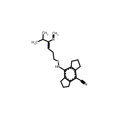 C=N/C(=C\CCSNc1c2c(c(C#N)c3c1CCC3)CCC2)C(C)C